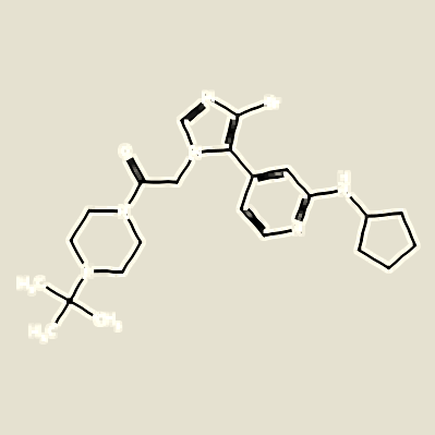 CC(C)(C)N1CCN(C(=O)Cn2cnc(Br)c2-c2ccnc(NC3CCCC3)c2)CC1